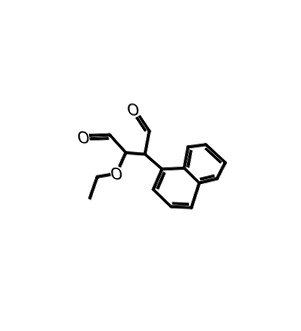 CCOC(C=O)C(C=O)c1cccc2ccccc12